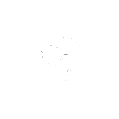 NC(=O)C1=c2ccccc2=CNC=C1